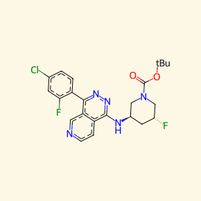 CC(C)(C)OC(=O)N1C[C@H](F)C[C@@H](Nc2nnc(-c3ccc(Cl)cc3F)c3cnccc23)C1